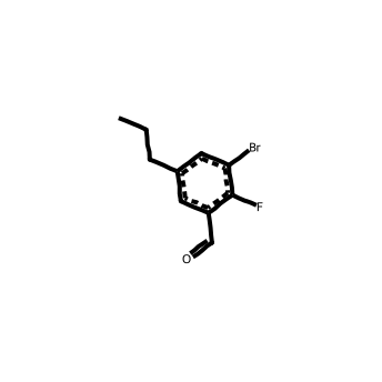 CCCc1cc(Br)c(F)c(C=O)c1